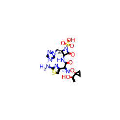 C=C(O)C1(O/N=C(\C(=O)NC2C(=O)N(S(=O)(=O)O)[C@@H]2Cn2cncn2)c2csc(N)n2)CC1